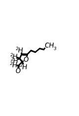 [2H]C(=O)C1([2H])OC(CCCCC)=C([2H])C1([2H])[2H]